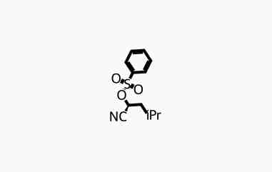 CC(C)C[C@@H](C#N)OS(=O)(=O)c1ccccc1